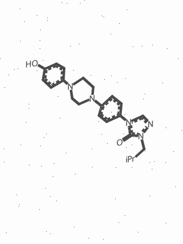 CC(C)Cn1ncn(-c2ccc(N3CCN(c4ccc(O)cc4)CC3)cc2)c1=O